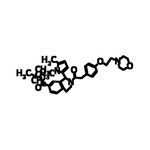 Cc1ccc(C2c3cc(C(=O)OC(C)(C)C)ccc3CCN2C(=O)Cc2ccc(OCCN3CCOCC3)cc2)n1C